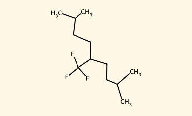 CC(C)CCC(CCC(C)C)C(F)(F)F